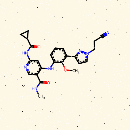 CNC(=O)c1cnc(NC(=O)C2CC2)cc1Nc1cccc(-c2ccn(CCC#N)n2)c1OC